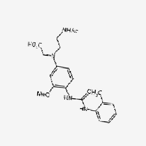 COc1cc(N(CCNC(C)=O)CC(=O)O)ccc1NC(=O)Nc1ccccc1C